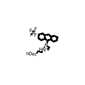 CCCCCCCCCCCC[NH+]1C=CN(c2c3ccccc3cc3ccccc23)C1.F[B-](F)(F)F